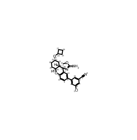 N#Cc1cc(Cl)cc(-c2ccc3c(c2)[C@@]2(COC(N)=N2)[C@H]2C[C@@H](OC4CCC4)CC[C@@H]2O3)c1